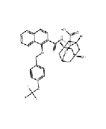 O=C(N[C@@]1(C(=O)O)CC2C[C@@H]3C[C@@H]1C[C@](O)(C2)C3)c1ccc2ccccc2c1OCc1ccc(SC(F)(F)F)cc1